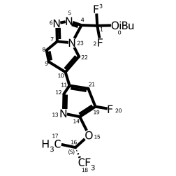 CC(C)COC(F)(F)c1nnc2ccc(-c3cnc(O[C@@H](C)C(F)(F)F)c(F)c3)cn12